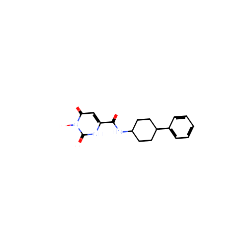 O=C(NC1CCC(c2ccccc2)CC1)c1cc(=O)n(O)c(=O)[nH]1